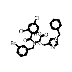 O=C(O)[C@H](Cc1cn(Cc2ccccc2)cn1)N(Cc1cccc(Br)c1)C(=O)c1ccc(Cl)cc1Cl